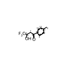 Cc1ccc(C(=O)C[C@@H](O)C(F)(F)F)cc1